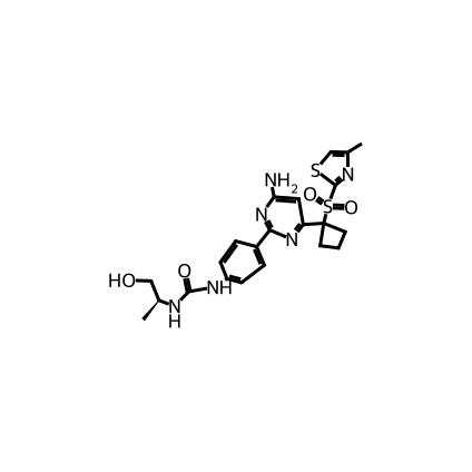 Cc1csc(S(=O)(=O)C2(c3cc(N)nc(-c4ccc(NC(=O)N[C@@H](C)CO)cc4)n3)CCC2)n1